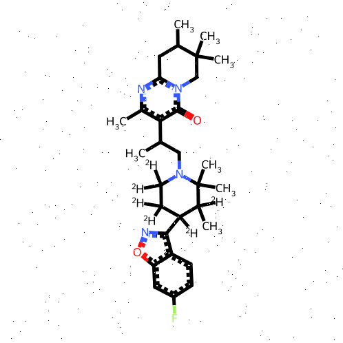 [2H]C1([2H])N(CC(C)c2c(C)nc3n(c2=O)CC(C)(C)C(C)C3)C(C)(C)C([2H])(C)C([2H])(c2noc3cc(F)ccc23)C1([2H])[2H]